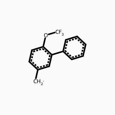 [CH2]c1ccc(OC(F)(F)F)c(-c2ccccc2)c1